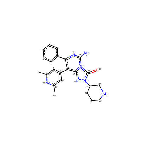 Cc1cc(-c2c(-c3ccccc3)nc(N)n3c(=O)n(C4CCCNC4)nc23)cc(C)n1